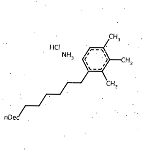 CCCCCCCCCCCCCCCCc1ccc(C)c(C)c1C.Cl.N